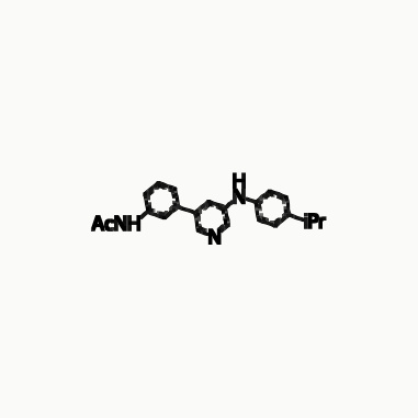 CC(=O)Nc1cccc(-c2cncc(Nc3ccc(C(C)C)cc3)c2)c1